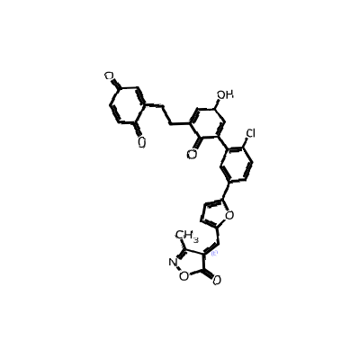 CC1=NOC(=O)/C1=C/c1ccc(-c2ccc(Cl)c(C3=CC(O)C=C(CCC4=CC(=O)C=CC4=O)C3=O)c2)o1